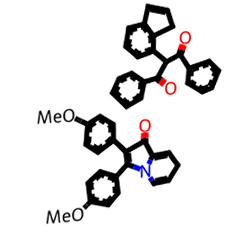 COc1ccc(C2=C(c3ccc(OC)cc3)N3C=CCC=C3C2=O)cc1.O=C(c1ccccc1)C(C(=O)c1ccccc1)c1cccc2c1CC=C2